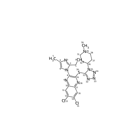 CCc1nc(C)cn1-c1nc2cc(Cl)c(Cl)cc2nc1Sc1nnnn1C1CCN(C)CC1